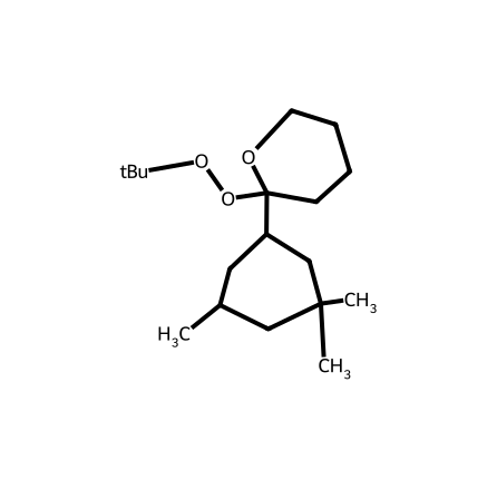 CC1CC(C2(OOC(C)(C)C)CCCCO2)CC(C)(C)C1